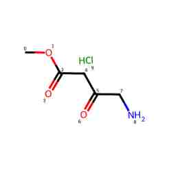 COC(=O)CC(=O)CN.Cl